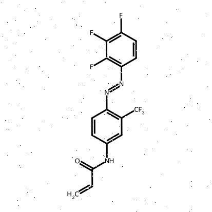 C=CC(=O)Nc1ccc(N=Nc2ccc(F)c(F)c2F)c(C(F)(F)F)c1